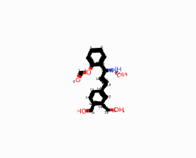 O=COc1ccccc1C(C=Cc1ccc(CO)c(CO)c1)NO